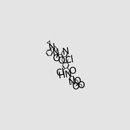 COC(=O)Oc1cc(NC(=O)c2cc(Cl)c(Oc3ccncc3C(=O)N3CCN(C4CC4)c4ccccc43)cc2Cl)cn1C